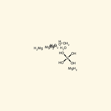 O.O.O.O.O[Si](O)(O)O.[MgH2].[MgH2].[MgH2].[MgH2]